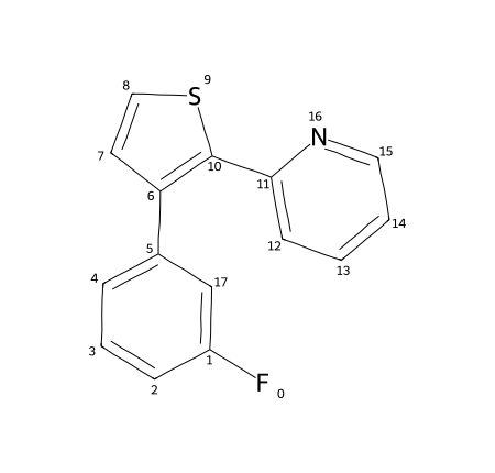 Fc1cccc(-c2ccsc2-c2ccccn2)c1